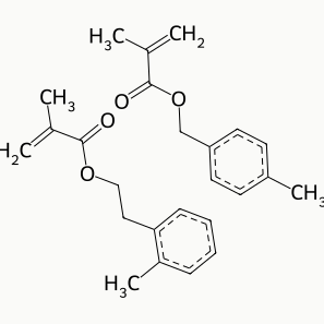 C=C(C)C(=O)OCCc1ccccc1C.C=C(C)C(=O)OCc1ccc(C)cc1